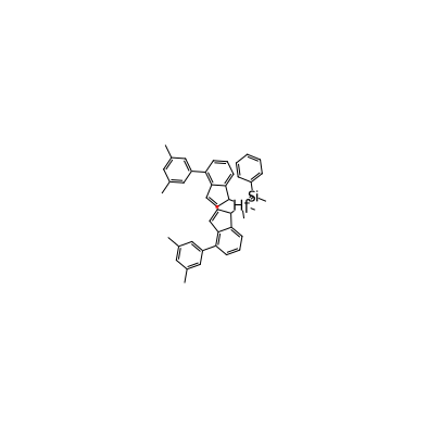 Cc1cc(C)cc(-c2cccc3c2C=C[CH]3[Hf]([CH3])([CH3])([CH]2C=Cc3c(-c4cc(C)cc(C)c4)cccc32)=[Si](C)c2ccccc2)c1